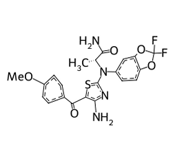 COc1ccc(C(=O)c2sc(N(c3ccc4c(c3)OC(F)(F)O4)[C@H](C)C(N)=O)nc2N)cc1